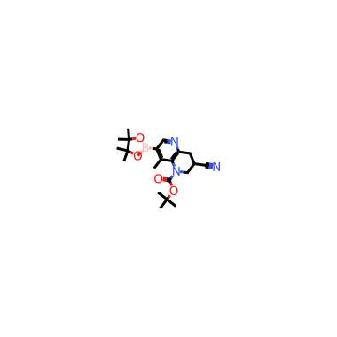 Cc1c(B2OC(C)(C)C(C)(C)O2)cnc2c1N(C(=O)OC(C)(C)C)CC(C#N)C2